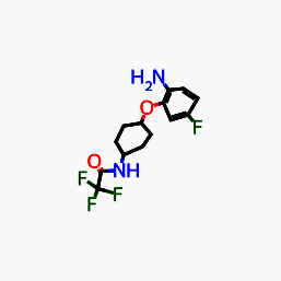 Nc1ccc(F)cc1OC1CCC(NC(=O)C(F)(F)F)CC1